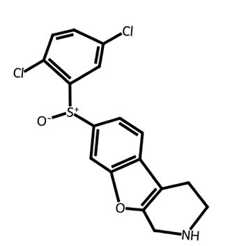 [O-][S+](c1ccc2c3c(oc2c1)CNCC3)c1cc(Cl)ccc1Cl